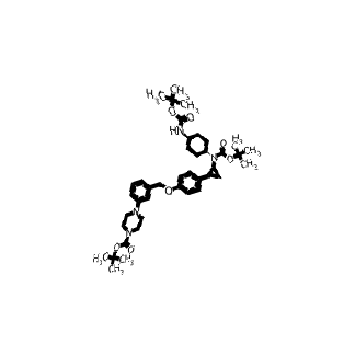 CC(C)(C)OC(=O)N[C@H]1CC[C@H](N(C(=O)OC(C)(C)C)C2CC2c2ccc(OCc3cccc(N4CCN(C(=O)OC(C)(C)C)CC4)c3)cc2)CC1